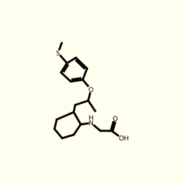 CSc1ccc(OC(C)CC2CCCCC2NCC(=O)O)cc1